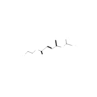 CC(C)OC(=O)/C=C/C(=O)OCCO